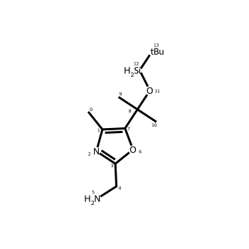 Cc1nc(CN)oc1C(C)(C)O[SiH2]C(C)(C)C